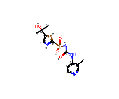 Cc1cnccc1NC(=O)NS(=O)(=O)c1ncc(C(C)(C)O)s1